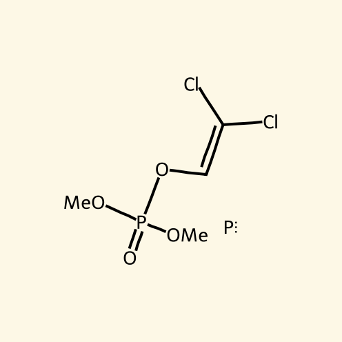 COP(=O)(OC)OC=C(Cl)Cl.[P]